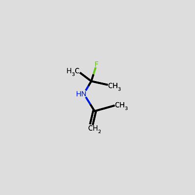 C=C(C)NC(C)(C)F